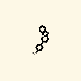 Nc1ccc(-c2ccc3nc4ccccc4n3c2)cc1